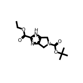 CCOC(=O)c1nc2c([nH]1)CN(C(=O)OC(C)(C)C)C2